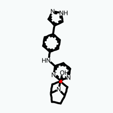 OC1CC2CCC(C1)N2c1nccc(Nc2ccc(-c3cn[nH]c3)cc2)n1